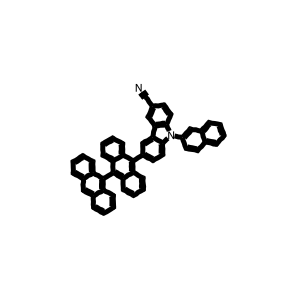 N#Cc1ccc2c(c1)c1cc(-c3c4ccccc4c(-c4c5ccccc5cc5ccccc45)c4ccccc34)ccc1n2-c1ccc2ccccc2c1